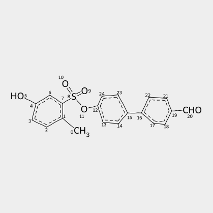 Cc1ccc(O)cc1S(=O)(=O)Oc1ccc(-c2ccc(C=O)cc2)cc1